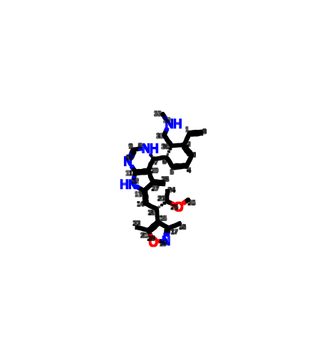 C=CC1=CC=C[C@H]([C@H]2NC=Nc3[nH]/c(=C/[C@@H](c4c(C)noc4C)C(C)OC)c(=C)c32)C1CNC